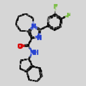 O=C(NC1CCC2=C1C=CCC2)c1nc(-c2ccc(F)c(F)c2)n2c1CCCCC2